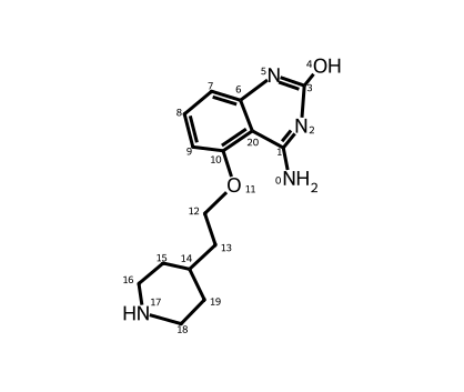 Nc1nc(O)nc2cccc(OCCC3CCNCC3)c12